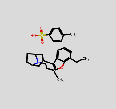 CCCCN1C2CCC1CC(c1coc3c(CC)cccc13)C2.Cc1ccc(S(=O)(=O)O)cc1